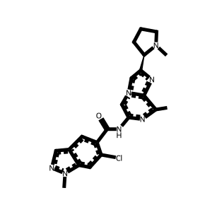 Cc1nc(NC(=O)c2cc3cnn(C)c3cc2Cl)cn2cc([C@H]3CCCN3C)nc12